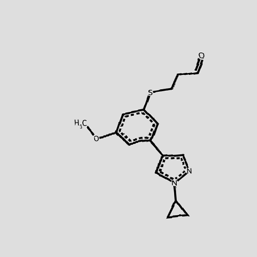 COc1cc(SCCC=O)cc(-c2cnn(C3CC3)c2)c1